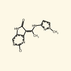 C/C(Nc1ccn(C)n1)=C1/C(=O)Nc2cnc(Cl)nc21